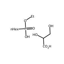 CCCCCCP(=O)(O)OCC.O=C(O)C(O)CO